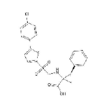 O=C(O)[C@]1(NCS(=O)(=O)c2ccc(-c3ccc(Cl)cc3)s2)C[C@@H]1c1ccccc1